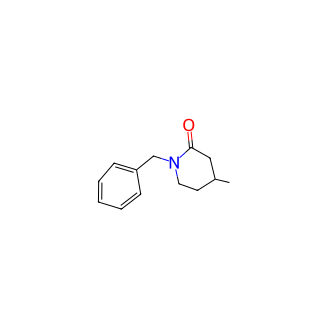 CC1CCN(Cc2ccccc2)C(=O)C1